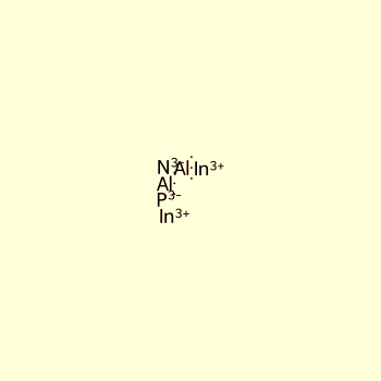 [Al].[Al].[In+3].[In+3].[N-3].[P-3]